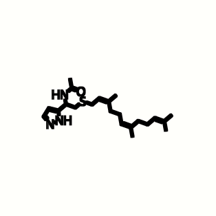 CC(=O)NC(CSCC=C(C)CCC=C(C)CCC=C(C)C)c1ccn[nH]1